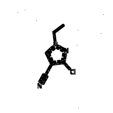 CCn1cc(C#N)c(Cl)n1